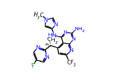 C[C@@H](c1ncc(F)cn1)c1cc(C(F)(F)F)nc2nc(N)nc(Nc3cn(C)cn3)c12